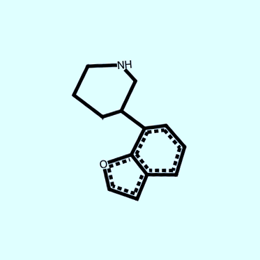 [CH]1CCNC[C]1c1cccc2ccoc12